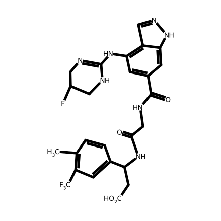 Cc1ccc(C(CC(=O)O)NC(=O)CNC(=O)c2cc(NC3=NCC(F)CN3)c3cn[nH]c3c2)cc1C(F)(F)F